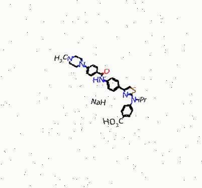 CC(C)N(c1ccc(C(=O)O)cc1)c1nc(-c2ccc(NC(=O)c3ccc(N4CCN(C)CC4)cc3)cc2)cs1.[NaH]